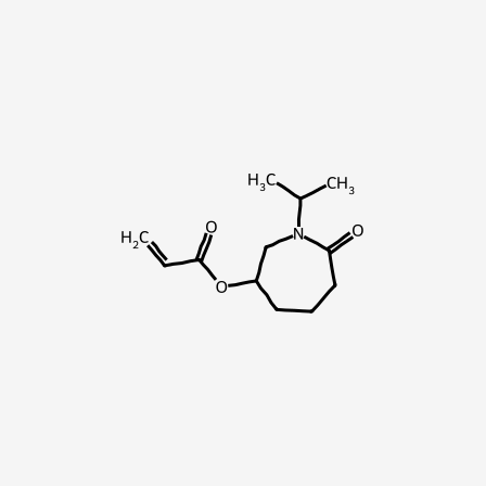 C=CC(=O)OC1CCCC(=O)N(C(C)C)C1